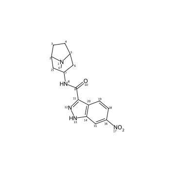 CN1C2CCC1CC(NC(=O)c1n[nH]c3cc([N+](=O)[O-])ccc13)C2